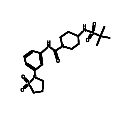 CC(C)(C)S(=O)(=O)NC1CCN(C(=O)Nc2cccc(N3CCCS3(=O)=O)c2)CC1